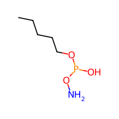 CCCCCOP(O)ON